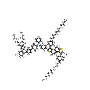 CCCCCCCCCCCCc1ccc(-c2c(C)sc3ccc4c(ccc5sc(-c6ccc(N(c7ccccc7)c7ccc(-c8ccc9c(c8)C(CCCCCCCC)(CCCCCCCC)c8cc(C)ccc8-9)cc7)cc6)c(-c6ccc(CCCCCCCCCCCC)cc6)c54)c23)cc1